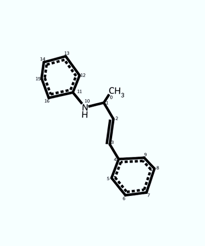 CC(C=Cc1ccccc1)Nc1ccccc1